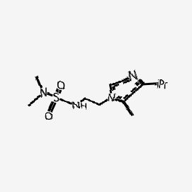 Cc1c(C(C)C)ncn1CCNS(=O)(=O)N(C)C